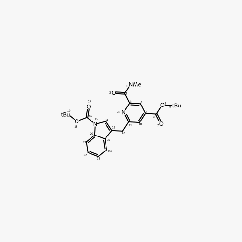 CNC(=O)c1cc(C(=O)OC(C)(C)C)cc(Cc2cn(C(=O)OC(C)(C)C)c3ccccc23)n1